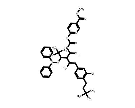 COC(=O)c1ccc(NC(=O)NC(C)C(C(C)Cc2ccc(CCC(C)(C)C)c(Cl)c2)C(O[SiH](c2ccccc2)c2ccccc2)C(C)(C)C)nc1